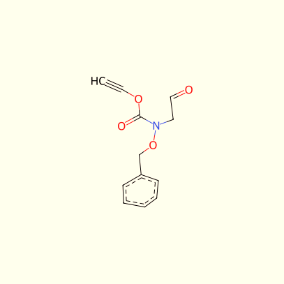 C#COC(=O)N(CC=O)OCc1ccccc1